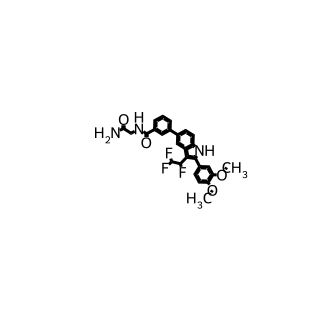 COc1ccc(-c2[nH]c3ccc(-c4cccc(C(=O)NCC(N)=O)c4)cc3c2C(F)C(F)F)cc1OC